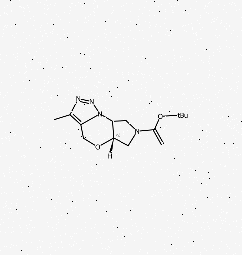 C=C(OC(C)(C)C)N1CC2[C@H](C1)OCc1c(C)nnn12